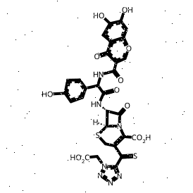 O=C(O)Cn1nnnc1C(=S)C1=C(C(=O)O)N2C(=O)[C@@H](NC(=O)C(NC(=O)c3coc4cc(O)c(O)cc4c3=O)c3ccc(O)cc3)[C@@H]2SC1